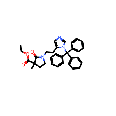 CCOC(=O)C1(C)CCN(CCc2cncn2C(c2ccccc2)(c2ccccc2)c2ccccc2)C1=O